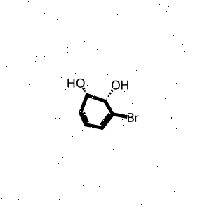 O[C@@H]1C(Br)=CC=C[C@@H]1O